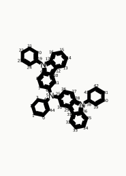 C1=CCCC(N(c2ccc3c(c2)c2ccccc2n3C2=CCCC=C2)c2ccc3c(c2)c2ccccc2n3C2C=CC=CC2)=C1